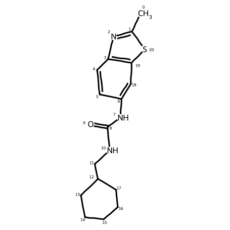 Cc1nc2ccc(NC(=O)NCC3CCCCC3)cc2s1